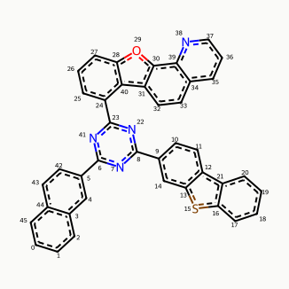 c1ccc2cc(-c3nc(-c4ccc5c(c4)sc4ccccc45)nc(-c4cccc5oc6c(ccc7cccnc76)c45)n3)ccc2c1